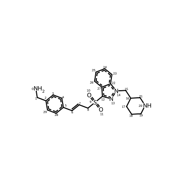 NCc1ccc(C=CCS(=O)(=O)c2nn(CC3CCCNC3)c3ccccc23)cc1